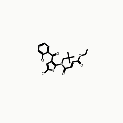 CCOC(=O)/C=C/C(=O)N(CC(C)(C)C)c1sc(Cl)cc1C(=O)c1ccccc1Cl